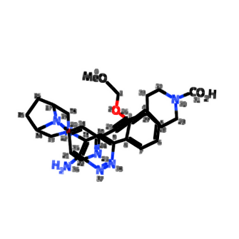 COCOc1ccccc1-c1cc(N2CC3CCC(C2)N3c2ccnc(C#CC3CCN(C(=O)O)CC3)c2)c(N)nn1